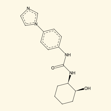 O=C(Nc1ccc(-n2ccnc2)cc1)N[C@@H]1CCCC[C@@H]1O